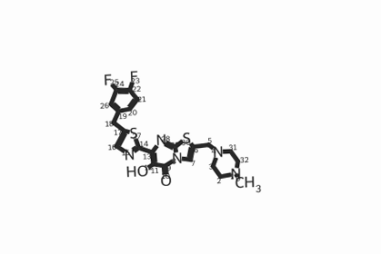 CN1CCN(Cc2cn3c(=O)c(O)c(-c4ncc(Cc5ccc(F)c(F)c5)s4)nc3s2)CC1